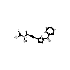 CC(C#Cc1ccc([C@H](O)c2ccccn2)s1)N(O)C(N)=O